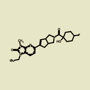 Cn1c(=O)n(CC(C)(C)C)c2ccc(C3=CC4CN(C(=O)C5(O)CCC(F)CC5)CC4C3)nc21